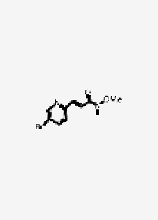 CON(C)C(=O)/C=C/c1ccc(Br)cn1